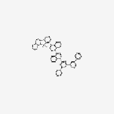 CC1(C)c2c(cccc2-c2ccc(-c3ccc(-c4nc(-c5ccccc5)cc(-c5cccc(-c6ccccc6)c5)n4)c4ccccc34)c3ccccc23)-c2ccc3ccccc3c21